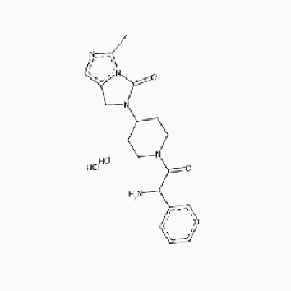 Cc1ncc2n1C(=O)N(C1CCN(C(=O)C(N)c3ccccc3)CC1)C2.Cl.Cl